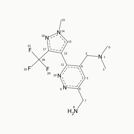 CN(C)Cc1cc(CN)nnc1-c1cn(C)nc1C(F)(F)F